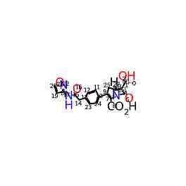 C[C@@H](O)[C@H]1C(=O)N2C(C(=O)O)=C(c3ccc(CC(=O)Nc4ccon4)cc3)C[C@H]12